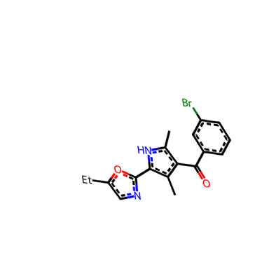 CCc1cnc(-c2[nH]c(C)c(C(=O)c3cccc(Br)c3)c2C)o1